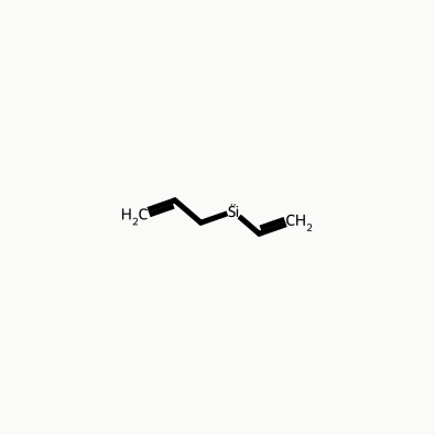 C=CC[Si]C=C